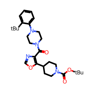 CC(C)(C)OC(=O)N1CCC(c2ocnc2C(=O)N2CCN(c3ccccc3C(C)(C)C)CC2)CC1